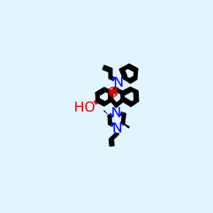 C=CCN(C(=O)c1ccccc1[C@@H](c1cccc(O)c1)N1C[C@@H](C)N(CC=C)C[C@@H]1C)c1ccccc1